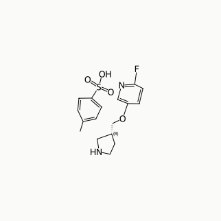 Cc1ccc(S(=O)(=O)O)cc1.Fc1ccc(OC[C@@H]2CCNC2)cn1